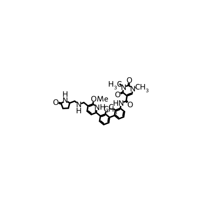 COc1nc(-c2cccc(-c3cccc(NC(=O)c4cn(C)c(=O)n(C)c4=O)c3C)c2C)ccc1CNCC1CCC(=O)N1